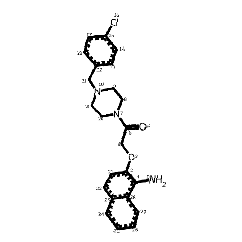 Nc1c(OCC(=O)N2CCN(Cc3ccc(Cl)cc3)CC2)ccc2ccccc12